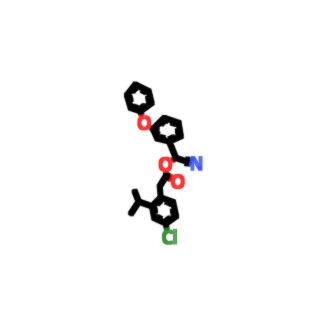 CC(C)c1cc(Cl)ccc1CC(=O)OC(C#N)c1cccc(Oc2ccccc2)c1